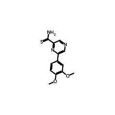 COc1ccc(-c2cncc(C(N)=S)n2)cc1OC